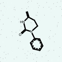 C=C1CCN(c2ccccc2)C(=O)N1